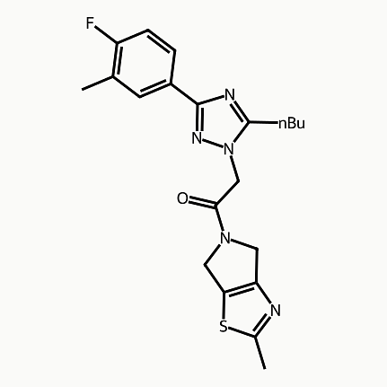 CCCCc1nc(-c2ccc(F)c(C)c2)nn1CC(=O)N1Cc2nc(C)sc2C1